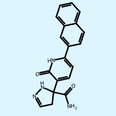 NC(=O)C1(c2ccc(-c3ccc4ccccc4c3)[nH]c2=O)CC=NN1